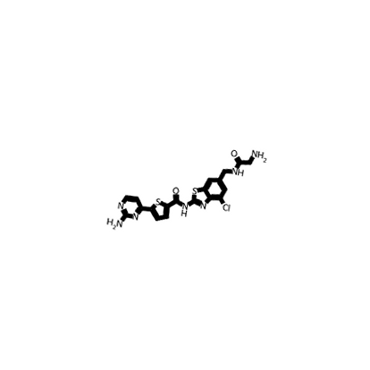 NCC(=O)NCc1cc(Cl)c2nc(NC(=O)c3ccc(-c4ccnc(N)n4)s3)sc2c1